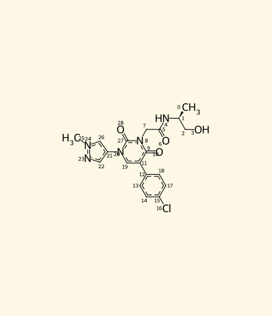 C[C@@H](CO)NC(=O)Cn1c(=O)c(-c2ccc(Cl)cc2)cn(-c2cnn(C)c2)c1=O